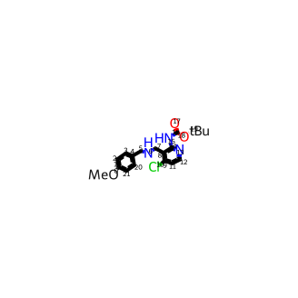 COc1ccc(CNCc2c(Cl)ccnc2NC(=O)OC(C)(C)C)cc1